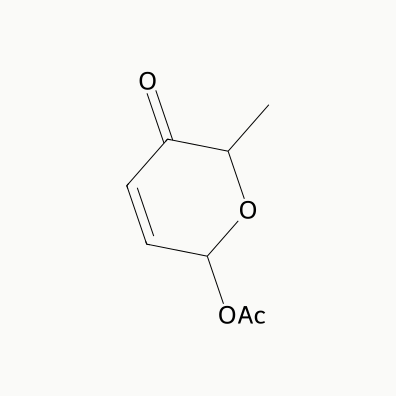 CC(=O)OC1C=CC(=O)C(C)O1